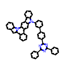 c1ccc(-c2nc(-c3ccccc3)nc(-c3ccc(-c4cccc(-n5c6ccccc6c6cc7c(cc65)c5ccccc5c5cc6ccccc6n57)c4)cc3)n2)cc1